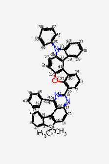 C[Si]1(C)c2ccccc2-c2c1ccc1nc(-c3cccc4c3oc3ccc5c(c6ccccc6n5-c5ccccc5)c34)nc(-c3ccccc3)c21